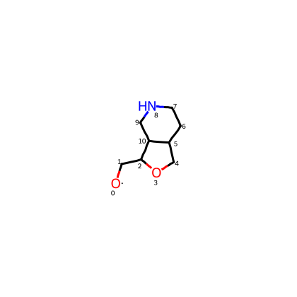 [O]CC1OCC2CCNCC21